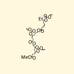 C=COC(=O)OC(CC)C/C=C\CC(=O)OCC(C/C=C\CC(=O)OCC(C/C=C\CC(=O)OC)OC(=O)OC=C)OC(=O)OC=C